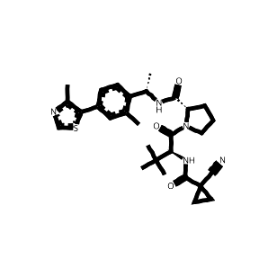 Cc1cc(-c2scnc2C)ccc1[C@H](C)NC(=O)[C@@H]1CCCN1C(=O)[C@@H](NC(=O)C1(C#N)CC1)C(C)(C)C